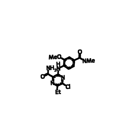 CCc1nc(C(N)=O)c(Nc2ccc(C(=O)NC)cc2OC)nc1Cl